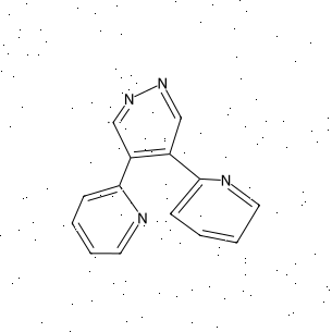 [c]1nncc(-c2ccccn2)c1-c1ccccn1